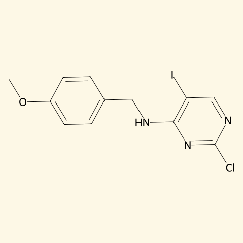 COc1ccc(CNc2nc(Cl)ncc2I)cc1